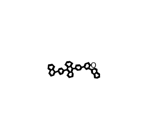 c1ccc2cc3c(cc2c1)oc1ccc(-c2ccc(-c4c5ccccc5c(-c5ccc(-c6cccc7ccccc67)cc5)c5ccccc45)cc2)cc13